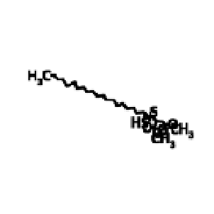 CCCCCCCCCCCCCCCCCCCCN(S)C(=S)C(CC(=O)OC)C(=O)OC